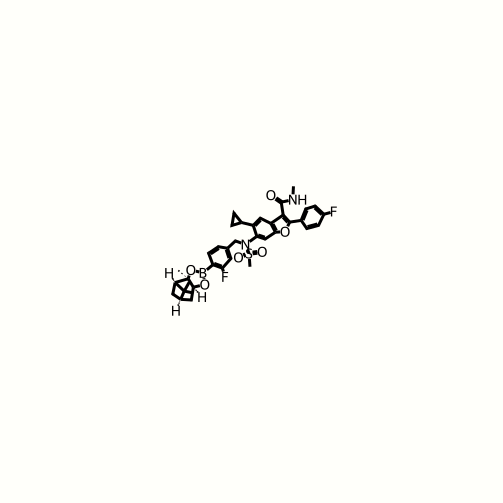 CNC(=O)c1c(-c2ccc(F)cc2)oc2cc(N(Cc3ccc(B4O[C@H]5C[C@H]6C[C@H](C6(C)C)[C@@]5(C)O4)c(F)c3)S(C)(=O)=O)c(C3CC3)cc12